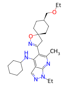 CCOC[C@H]1CC[C@@]2(CC1)CC(c1c(C)nc3c(cnn3CC)c1NC1CCCCC1)=NO2